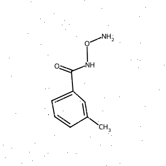 Cc1cccc(C(=O)NON)c1